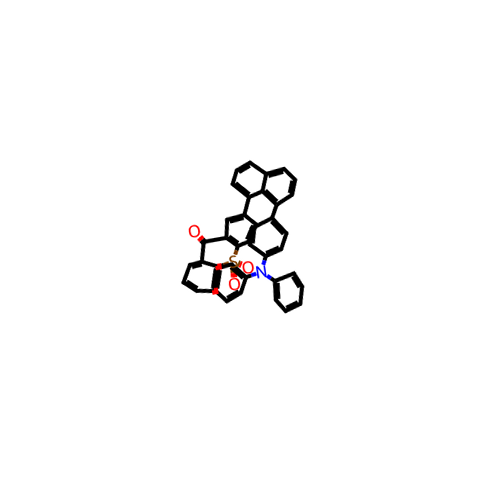 O=C1c2ccccc2S(=O)(=O)c2ccc(-c3cccc4cccc(-c5ccc(N(c6ccccc6)c6ccccc6)cc5)c34)cc21